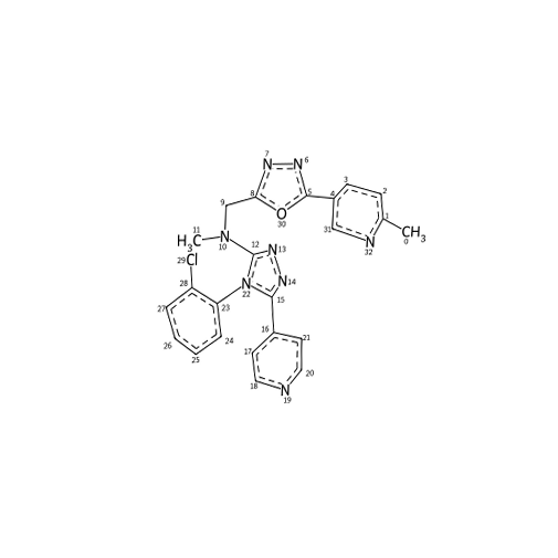 Cc1ccc(-c2nnc(CN(C)c3nnc(-c4ccncc4)n3-c3ccccc3Cl)o2)cn1